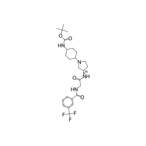 CC(C)(C)OC(=O)NC1CCC(N2CC[C@@H](NC(=O)CNC(=O)c3cccc(C(F)(F)F)c3)C2)CC1